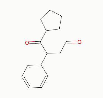 O=CCC(C(=O)C1CCCC1)c1ccccc1